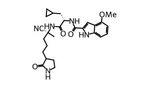 COc1cccc2[nH]c(C(=O)N[C@@H](CC3CC3)C(=O)N[C@](C)(C#N)CCCC3CCNC3=O)cc12